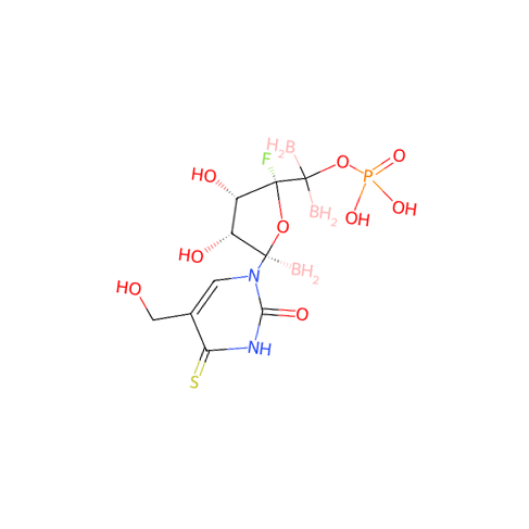 BC(B)(OP(=O)(O)O)[C@@]1(F)O[C@@](B)(n2cc(CO)c(=S)[nH]c2=O)[C@H](O)[C@@H]1O